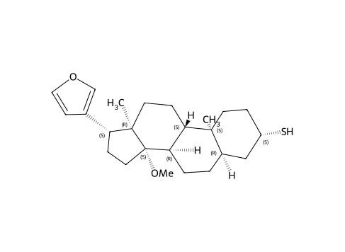 CO[C@]12CC[C@H](c3ccoc3)[C@@]1(C)CC[C@H]1[C@H]2CC[C@@H]2C[C@@H](S)CC[C@@]21C